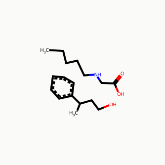 CC(CCO)c1ccccc1.CCCCCNCC(=O)O